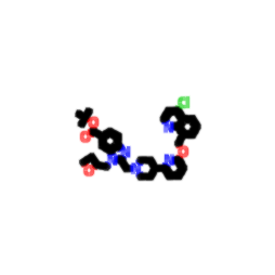 CC(C)(C)OC(=O)c1ccc2nc(CN3CCC(c4cccc(OCc5cccc6c(Cl)ccnc56)n4)CC3)n(CC3CCO3)c2c1